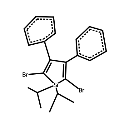 CC(C)[Si]1(C(C)C)C(Br)=C(c2ccccc2)C(c2ccccc2)=C1Br